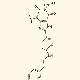 CCNn1c(=O)c2[nH]c(-c3ccc(NCCc4cccnc4)nc3)nc2n(NCC)c1=O